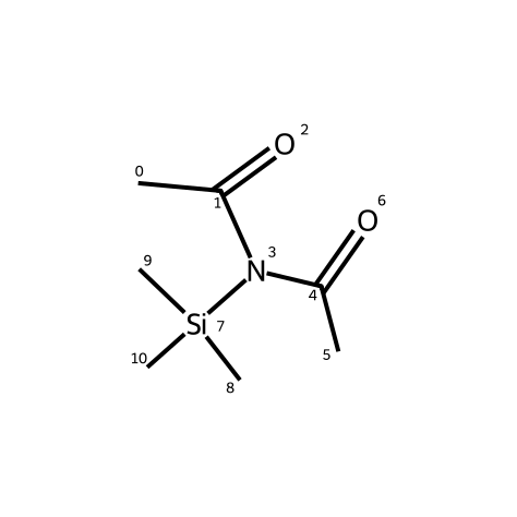 CC(=O)N(C(C)=O)[Si](C)(C)C